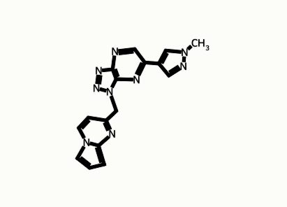 Cn1cc(-c2cnc3nnn(Cc4ccn5cccc5n4)c3n2)cn1